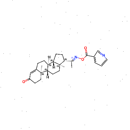 C/C(=N\OC(=O)c1cccnc1)[C@H]1CC[C@H]2[C@@H]3CCC4=CC(=O)CC[C@]4(C)[C@H]3CC[C@]12C